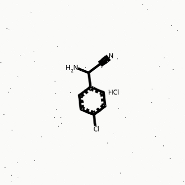 Cl.N#CC(N)c1ccc(Cl)cc1